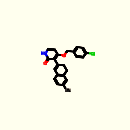 N#Cc1ccc2c(c1)CCC(c1c(OCc3ccc(Cl)cc3)cc[nH]c1=O)=C2